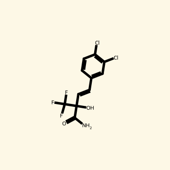 NC(=O)C(O)(/C=C/c1ccc(Cl)c(Cl)c1)C(F)(F)F